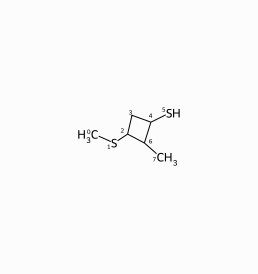 CSC1CC(S)C1C